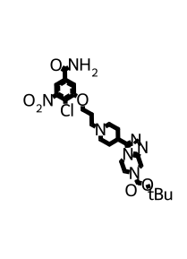 CC(C)(C)OC(=O)N1CCn2c(nnc2C2CCN(CCCOc3cc(C(N)=O)cc([N+](=O)[O-])c3Cl)CC2)C1